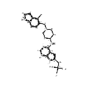 Cc1c(CN2CCC(Nc3ncnc4sc(CC(F)(F)F)cc34)CC2)ccc2[nH]ncc12